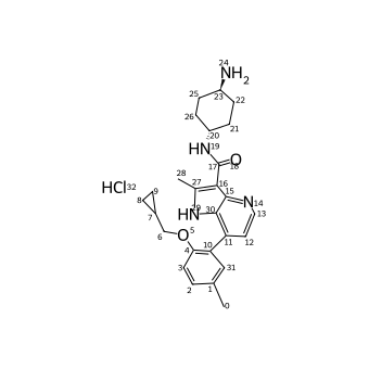 Cc1ccc(OCC2CC2)c(-c2ccnc3c(C(=O)N[C@H]4CC[C@H](N)CC4)c(C)[nH]c23)c1.Cl